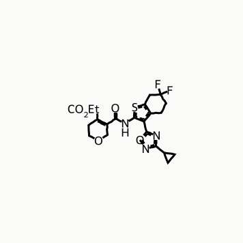 CCOC(=O)C1=C(C(=O)Nc2sc3c(c2-c2nc(C4CC4)no2)CCC(F)(F)C3)COCC1